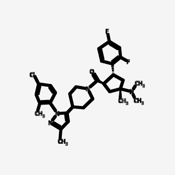 Cc1cc(C2CCN(C(=O)[C@@H]3C[C@@](C)(N(C)C)C[C@H]3c3ccc(F)cc3F)CC2)n(-c2ccc(Cl)cc2C)n1